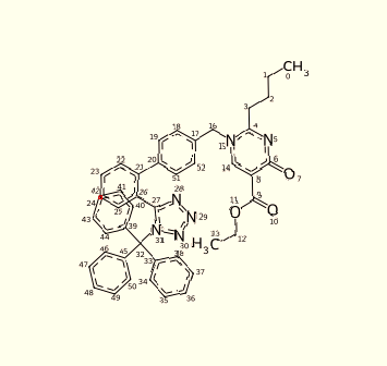 CCCCc1nc(=O)c(C(=O)OCC)cn1Cc1ccc(-c2ccccc2-c2nnnn2C(c2ccccc2)(c2ccccc2)c2ccccc2)cc1